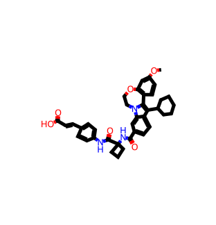 COc1ccc2c(c1)OCCn1c-2c(C2CCCCC2)c2ccc(C(=O)NC3(C(=O)Nc4ccc(C=CC(=O)O)cc4)CCC3)cc21